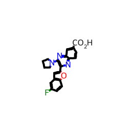 O=C(O)c1ccc2nc(-c3cc4cc(F)ccc4o3)c(N3CCCC3)nc2c1